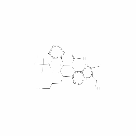 CC(=O)N1c2c(ccn3c(CO)c(C)nc23)[C@@H](OCCO)[C@H](OC(=O)C(C)(C)C)[C@H]1c1ccccc1